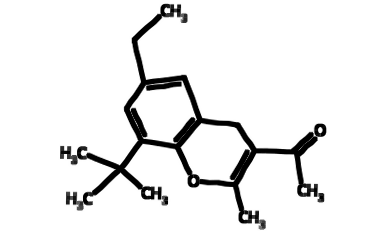 CCc1cc2c(c(C(C)(C)C)c1)OC(C)=C(C(C)=O)C2